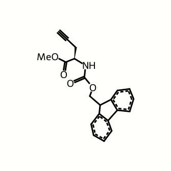 C#CC[C@@H](NC(=O)OCC1c2ccccc2-c2ccccc21)C(=O)OC